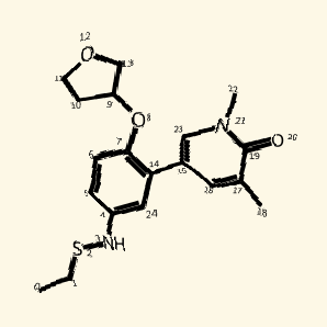 CCSNc1ccc(OC2CCOC2)c(-c2cc(C)c(=O)n(C)c2)c1